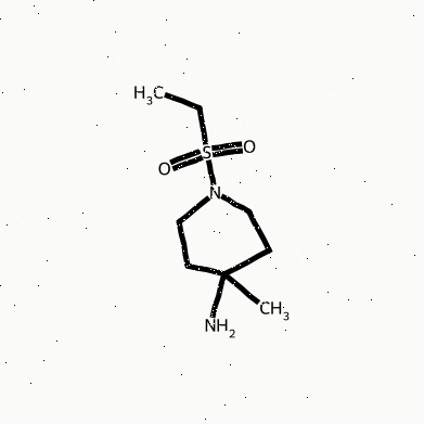 CCS(=O)(=O)N1CCC(C)(N)CC1